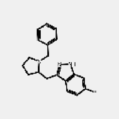 Fc1ccc2c(CC3CCCN3Cc3ccccc3)n[nH]c2c1